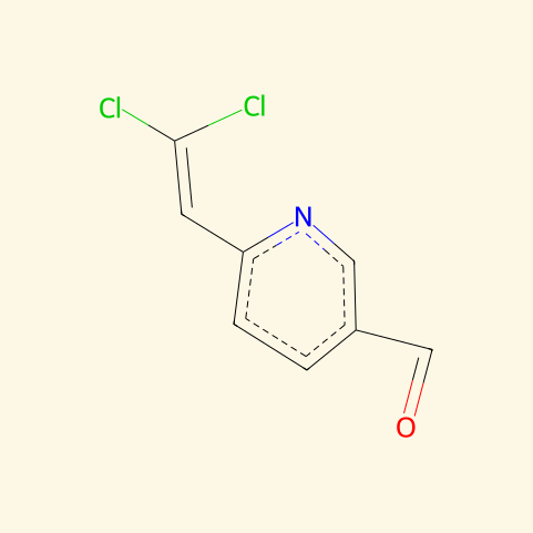 O=Cc1ccc(C=C(Cl)Cl)nc1